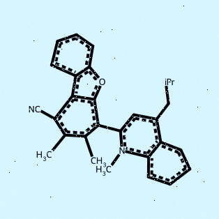 Cc1c(C)c(C#N)c2c(oc3ccccc32)c1-c1cc(CC(C)C)c2ccccc2[n+]1C